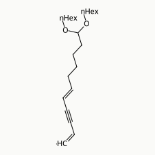 [CH]=CC#C/C=C/CCCCC(OCCCCCC)OCCCCCC